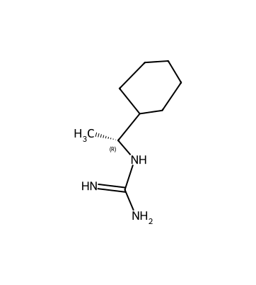 C[C@@H](NC(=N)N)C1CCCCC1